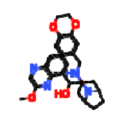 COc1cnc2cccc(C(O)CN3C4CCC3CC(NCc3ccc5c(c3)OCCO5)C4)c2n1